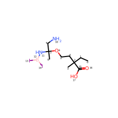 CCC(C)(CCOC(C)(CN)NB(I)I)C(=O)O